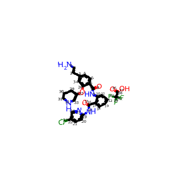 NCCc1ccc(C(=O)Nc2ccccc2C(=O)Nc2ccc(Cl)cn2)c(OC2CCCNC2)c1.O=C(O)C(F)(F)F